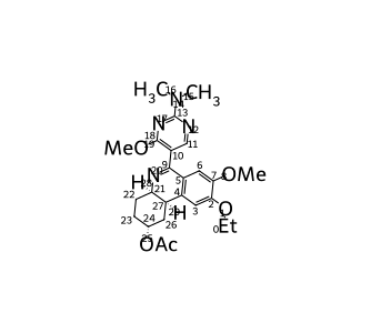 CCOc1cc2c(cc1OC)C(c1cnc(N(C)C)nc1OC)=N[C@@H]1CC[C@@H](OC(C)=O)C[C@H]21